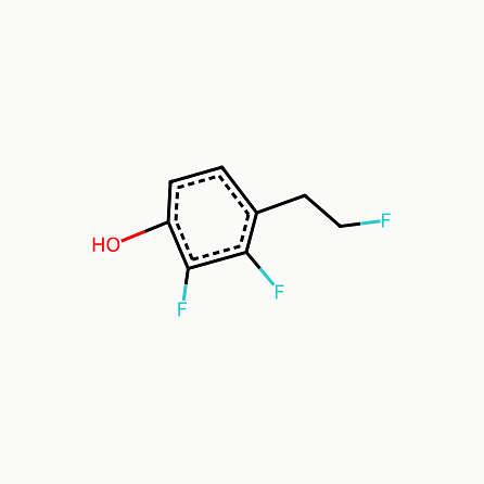 Oc1ccc(CCF)c(F)c1F